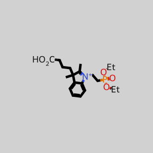 CCOP(=O)(CC[N+]1=C(C)C(C)(CCCC(=O)O)c2ccccc21)OCC